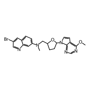 COc1ncnc2c1ccn2C1CCC(CN(C)c2ccc3cc(Br)cnc3c2)O1